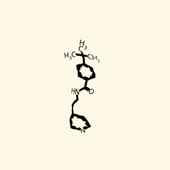 CC(C)(C)c1ccc(C(=O)NCCc2ccncc2)cc1